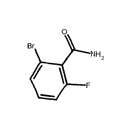 NC(=O)c1c(F)cccc1Br